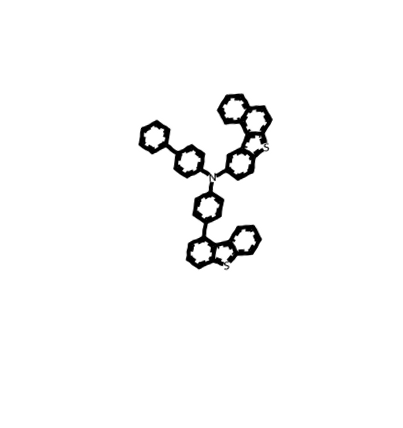 c1ccc(-c2ccc(N(c3ccc(-c4cccc5sc6ccccc6c45)cc3)c3ccc4sc5ccc6ccccc6c5c4c3)cc2)cc1